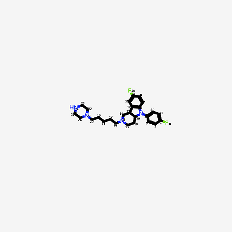 Fc1ccc(N2c3ccc(F)cc3C3CN(CCCCCN4CCNCC4)CCC32)cc1